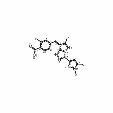 Cc1cc(/C=c2/c(C)nn3c(-c4cc(C)n(C)n4)nnc23)ccc1C(=O)O